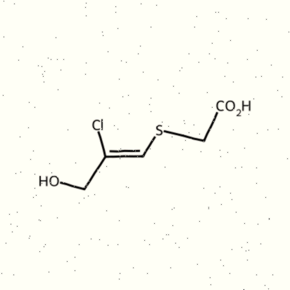 O=C(O)CS/C=C(\Cl)CO